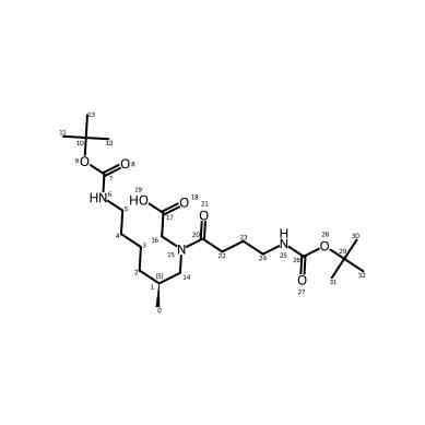 C[C@@H](CCCCNC(=O)OC(C)(C)C)CN(CC(=O)O)C(=O)CCCNC(=O)OC(C)(C)C